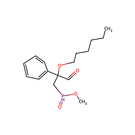 CCCCCCOC(C=O)(C[PH](=O)OC)c1ccccc1